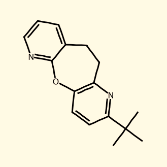 CC(C)(C)c1ccc2c(n1)CCc1cccnc1O2